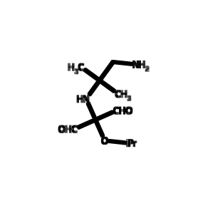 CC(C)OC(C=O)(C=O)NC(C)(C)CN